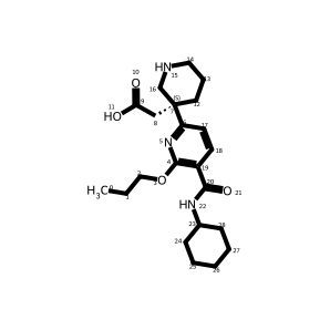 CCCOc1nc([C@]2(CC(=O)O)CCCNC2)ccc1C(=O)NC1CCCCC1